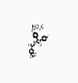 O=C(O)COc1ccc(C2C(SCC(=O)c3ccc4c(c3)OCO4)C(=O)N2c2ccc(F)cc2)cc1